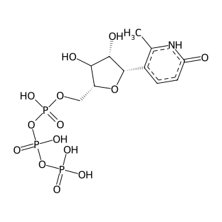 Cc1[nH]c(=O)ccc1[C@@H]1O[C@H](COP(=O)(O)OP(=O)(O)OP(=O)(O)O)C(O)[C@@H]1O